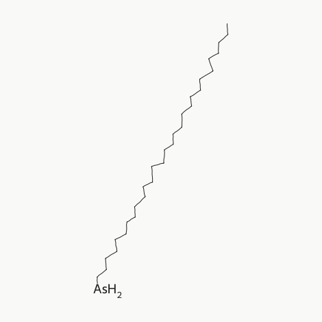 CCCCCCCCCCCCCCCCCCCCCCCCCCCCC[AsH2]